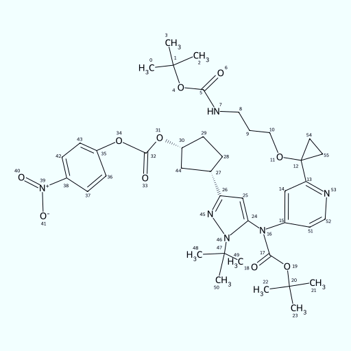 CC(C)(C)OC(=O)NCCCOC1(c2cc(N(C(=O)OC(C)(C)C)c3cc([C@H]4CC[C@@H](OC(=O)Oc5ccc([N+](=O)[O-])cc5)C4)nn3C(C)(C)C)ccn2)CC1